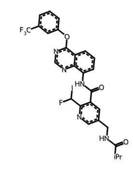 CC(C)C(=O)NCc1cnc(C(F)I)c(C(=O)Nc2cccc3c(Oc4cccc(C(F)(F)F)c4)ncnc23)c1